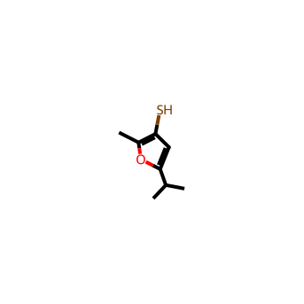 Cc1oc(C(C)C)cc1S